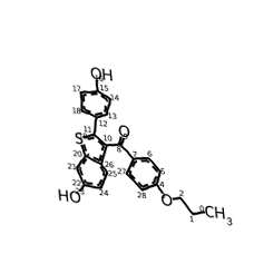 CCCOc1ccc(C(=O)c2c(-c3ccc(O)cc3)sc3cc(O)ccc23)cc1